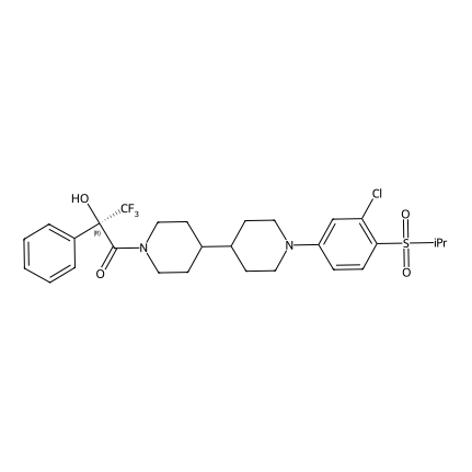 CC(C)S(=O)(=O)c1ccc(N2CCC(C3CCN(C(=O)[C@](O)(c4ccccc4)C(F)(F)F)CC3)CC2)cc1Cl